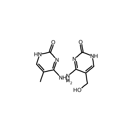 Cc1c[nH]c(=O)nc1N.Nc1nc(=O)[nH]cc1CO